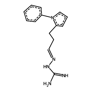 N=C(N)N/N=C/CCc1cccn1-c1ccccc1